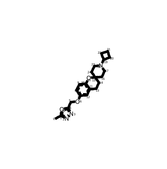 Cc1nnc(COc2ccc3c(c2)CCC2(CCN(C4CCC4)CC2)O3)o1